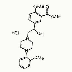 COC(=O)c1cc(C(O)CN2CCN(c3ccccc3OC)CC2)ccc1OC.Cl